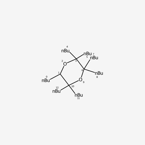 CCCCC1OC(CCCC)(CCCC)C(CCCC)(CCCC)OC1(CCCC)CCCC